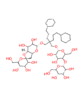 OCC1O[C@H](O[C@@H]2C(CO)O[C@@H](OCC(CCCC3CCCCC3)(CCCC3CCCCC3)CO[C@@H]3OC4C[C@@]5(OC(CO)[C@@H](O)C(O)C5O)O[C@H]4C(O)C3O)C(O)C2O)C(O)C(O)[C@@H]1O